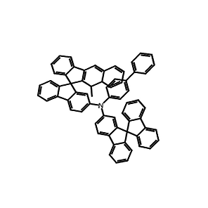 CC1C2=C(C=C3C=CC=CC31)c1ccccc1C21c2ccccc2-c2ccc(N(c3ccc(-c4ccccc4)cc3)c3ccc4c(c3)C3(c5ccccc5-c5ccccc53)c3ccccc3-4)cc21